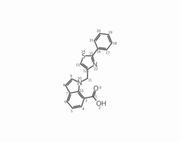 O=C(O)c1cccc2ccn(Cc3csc(-c4ccccc4)n3)c12